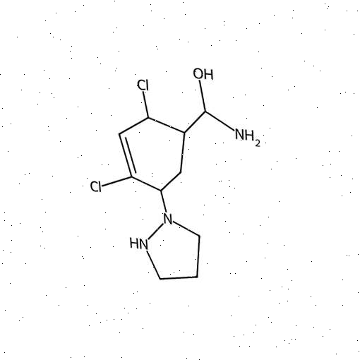 NC(O)C1CC(N2CCCN2)C(Cl)=CC1Cl